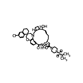 CN(C)S(=O)(=O)N1CCN(C(=O)C[C@@H]2CC/C=C/[C@H](O)[C@@H]3CC[C@H]3CN3C[C@@]4(CCCc5cc(Cl)ccc54)COc4ccc(cc43)C(=O)NS2(=O)=O)CC1